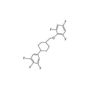 Fc1cc(F)c(OCC2CCC(c3cc(F)c(F)c(F)c3)CC2)c(F)c1